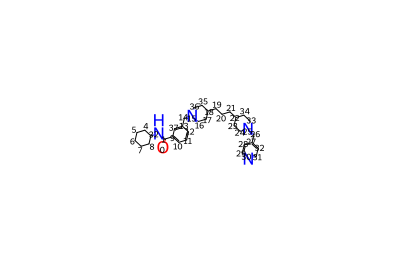 O=C(NC1CCCCC1)c1cccc(CN2CCC(CCCC3CCN(Cc4ccncc4)CC3)CC2)c1